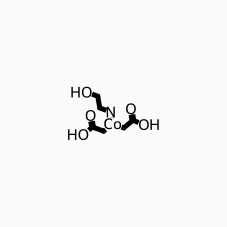 O=C(O)[CH2][Co]([CH2]C(=O)O)=[N]CCO